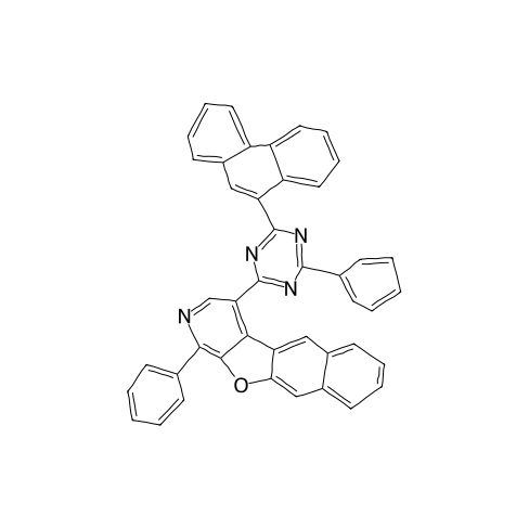 c1ccc(-c2nc(-c3cc4ccccc4c4ccccc34)nc(-c3cnc(-c4ccccc4)c4oc5cc6ccccc6cc5c34)n2)cc1